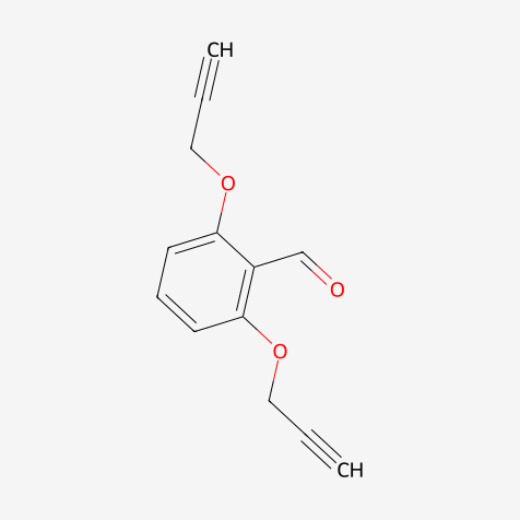 C#CCOc1cccc(OCC#C)c1C=O